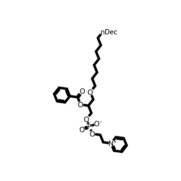 CCCCCCCCCCCCCCCCCCOCC(COP(=O)([O-])OCC[n+]1ccccc1)OC(=O)c1ccccc1